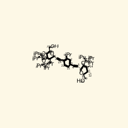 CC(C)c1cc(C#C[C@H]2O[C@H](CO)[C@@H](C)[C@H](C)[C@@H]2O[Si](C(C)C)(C(C)C)C(C)C)ccc1C#C[C@H]1O[C@H](CO)[C@@H](O[Si](C(C)C)(C(C)C)C(C)C)[C@H](O[Si](C(C)C)(C(C)C)C(C)C)[C@@H]1C